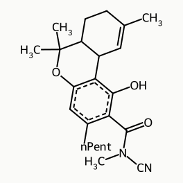 CCCCCc1cc2c(c(O)c1C(=O)N(C)C#N)C1C=C(C)CCC1C(C)(C)O2